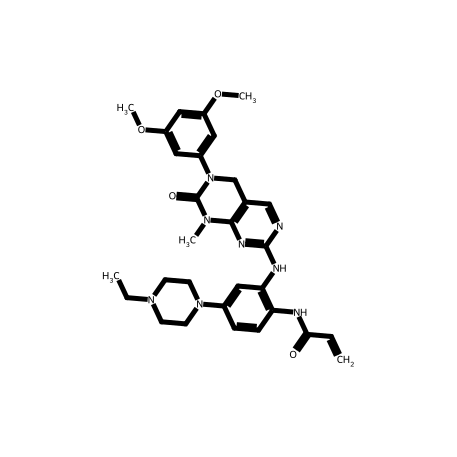 C=CC(=O)Nc1ccc(N2CCN(CC)CC2)cc1Nc1ncc2c(n1)N(C)C(=O)N(c1cc(OC)cc(OC)c1)C2